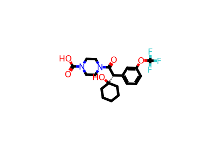 O=C(O)N1CCN(C(=O)[C@H](c2cccc(OC(F)(F)F)c2)C2(O)CCCCC2)CC1